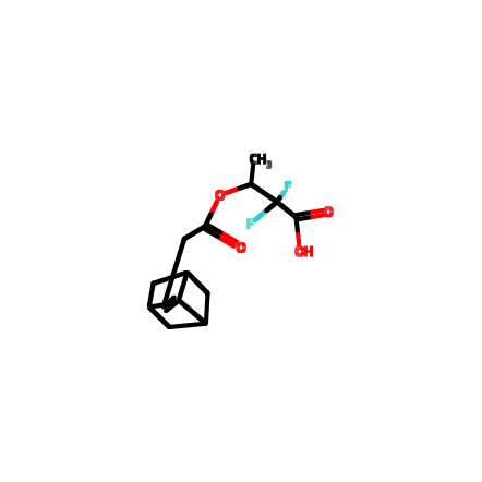 CC(OC(=O)CC1=C2C3CC(C1)CC2C3)C(F)(F)C(=O)O